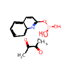 CC(=O)C(C)=O.OB(O)Oc1ccc2ccccc2n1